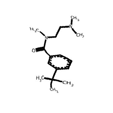 CN(C)CCN(C)C(=O)c1cccc(C(C)(C)C)c1